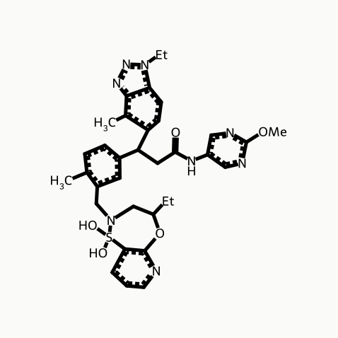 CCC1CN(Cc2cc(C(CC(=O)Nc3cnc(OC)nc3)c3ccc4c(nnn4CC)c3C)ccc2C)S(O)(O)c2cccnc2O1